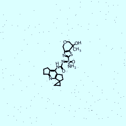 CC1(O)COCc2nc(S(N)(=O)=NC(=O)Nc3c4c(nc5c3CCC53CC3)CCC4)sc21